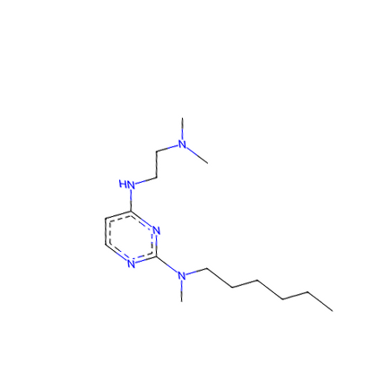 CCCCCCN(C)c1nccc(NCCN(C)C)n1